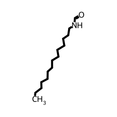 CCCCCCCCCCCCCCNC=O